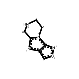 c1onc2c1nc1n2CCNC1